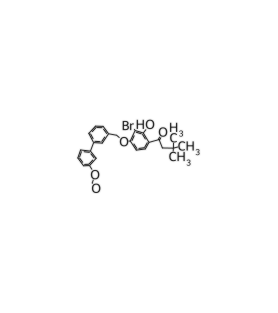 CC(C)(C)CC(=O)c1ccc(OCc2cccc(-c3cccc(OC=O)c3)c2)c(Br)c1O